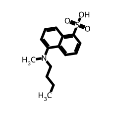 CCCCN(C)c1cccc2c(S(=O)(=O)O)cccc12